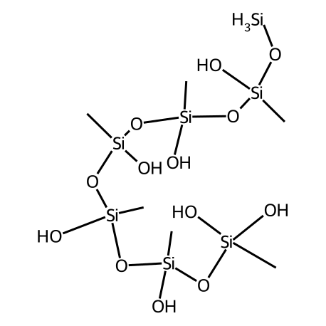 C[Si](O)(O)O[Si](C)(O)O[Si](C)(O)O[Si](C)(O)O[Si](C)(O)O[Si](C)(O)O[SiH3]